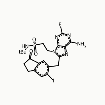 CC(C)(C)NS(=O)(=O)CCn1c(Cc2cc3c(cc2I)CCC3=O)nc2c(N)nc(F)nc21